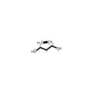 C=C.OCCCO